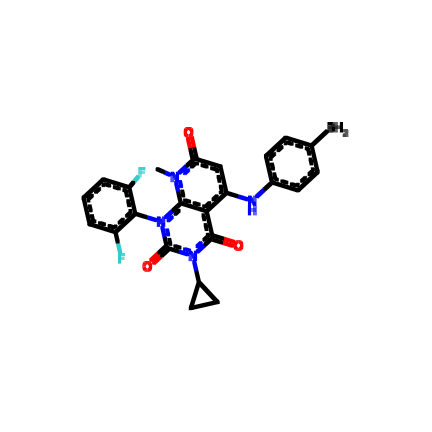 Bc1ccc(Nc2cc(=O)n(C)c3c2c(=O)n(C2CC2)c(=O)n3-c2c(F)cccc2F)cc1